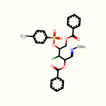 CON=CC(OC(=O)c1ccccc1)C(F)C(COC(=O)c1ccccc1)OS(=O)(=O)c1ccc([N+](=O)[O-])cc1